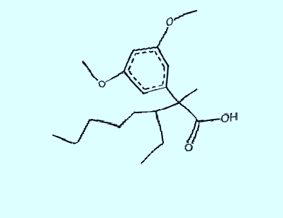 CCCCCC(CC)C(C)(C(=O)O)c1cc(OC)cc(OC)c1